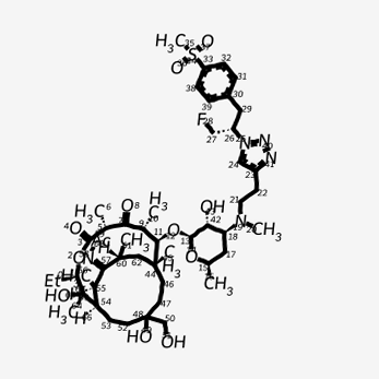 CC[C@H]1OC(=O)[C@H](C)C(=O)[C@H](C)[C@@H](O[C@@H]2O[C@H](C)C[C@H](N(C)CCc3cn([C@H](CF)Cc4ccc(S(C)(=O)=O)cc4)nn3)[C@H]2O)[C@]2(C)CCC(O)(CO)CC[C@H]([C@@H](C)/C(=N/C(C)=O)[C@H](C)C2)[C@]1(C)O